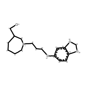 ClCC1CCCCN(CCCOc2ccc3c(c2)OCO3)C1